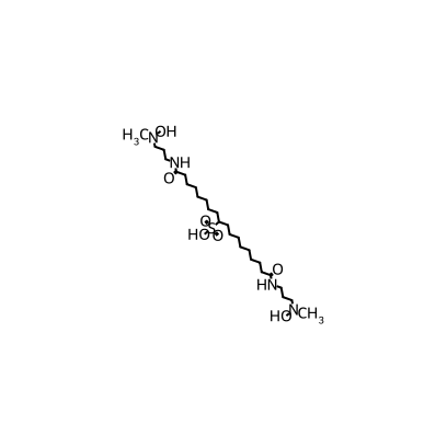 CN(O)CCCNC(=O)CCCCCCCCC(CCCCCCCC(=O)NCCCN(C)O)S(=O)(=O)O